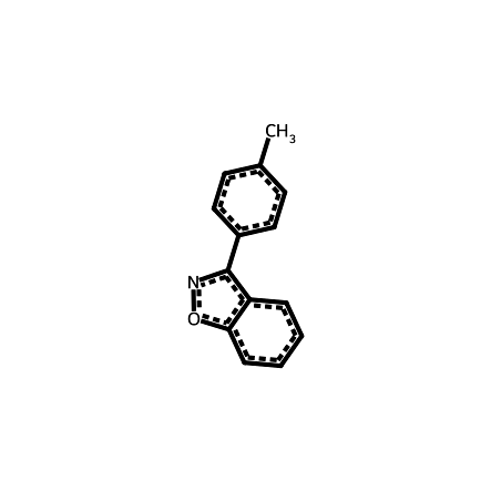 Cc1ccc(-c2noc3ccccc23)cc1